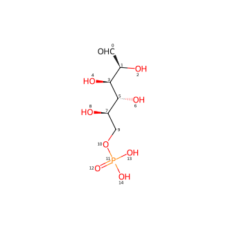 O=C[C@@H](O)[C@H](O)[C@H](O)[C@H](O)COP(=O)(O)O